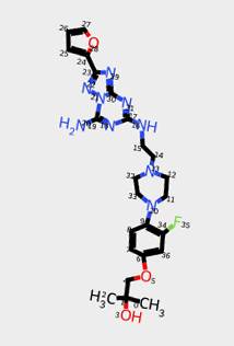 CC(C)(O)COc1ccc(N2CCN(CCNc3nc(N)n4nc(-c5ccco5)nc4n3)CC2)c(F)c1